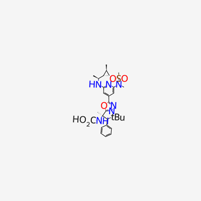 C[C@H](Nc1cc(-c2nnc([C@](C)(NC(=O)O)C(c3ccccc3)C(C)(C)C)o2)cc(N(C)S(C)(=O)=O)n1)[C@H]1C[C@@H]1C